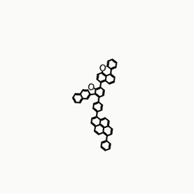 c1ccc(-c2ccc3ccc4c(-c5ccc(-c6ccc(-c7ccc8c9c(cccc79)-c7ccccc7O8)c7oc8cc9ccccc9cc8c67)cc5)ccc5ccc2c3c54)cc1